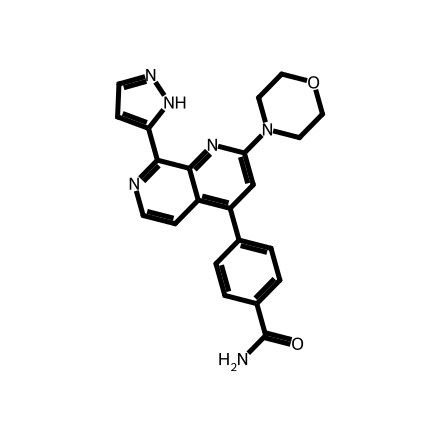 NC(=O)c1ccc(-c2cc(N3CCOCC3)nc3c(-c4ccn[nH]4)nccc23)cc1